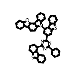 c1ccc(-c2nc(-c3cc(-n4c5ccccc5c5c6oc7ccccc7c6ccc54)c4c(c3)sc3ccccc34)nc(-c3cccc4sc5ccccc5c34)n2)cc1